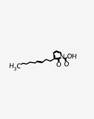 CCCCCC=CCCc1cccn(C(=O)O)c1=O